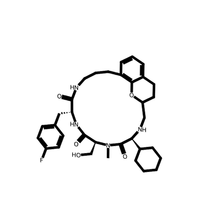 CN1C(=O)[C@H](C2CCCCC2)NCC2CCc3cccc(c3O2)CCCNC(=O)[C@@H](Cc2ccc(F)cc2)NC(=O)[C@@H]1CO